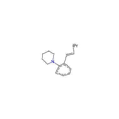 CC(C)C=Cc1ccccc1N1CCCCC1